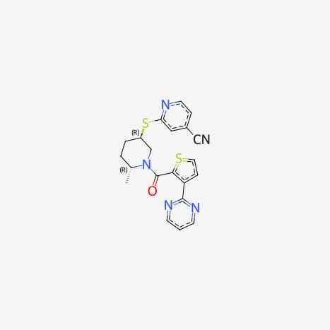 C[C@@H]1CC[C@@H](Sc2cc(C#N)ccn2)CN1C(=O)c1sccc1-c1ncccn1